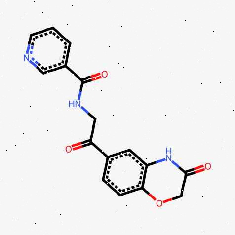 O=C1COc2ccc(C(=O)CNC(=O)c3cccnc3)cc2N1